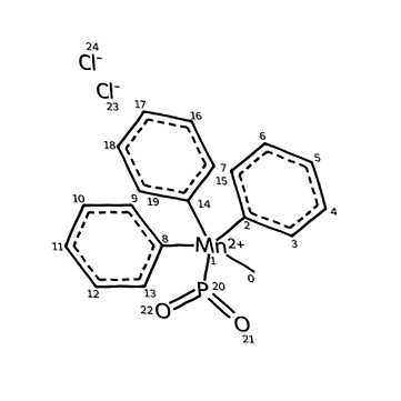 [CH3][Mn+2]([c]1ccccc1)([c]1ccccc1)([c]1ccccc1)[P](=O)=O.[Cl-].[Cl-]